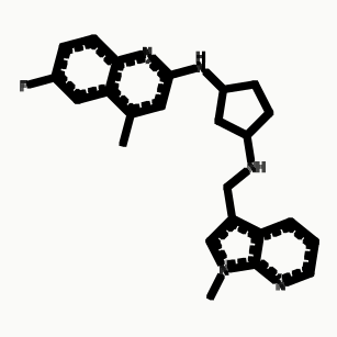 Cc1cc(NC2CCC(NCc3cn(C)c4ncccc34)C2)nc2ccc(F)cc12